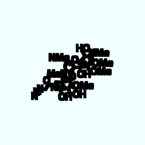 CNC1C[C@@H](NC)[C@@H](O[C@H]2OC(COC)[C@@H](OC)[C@@H](NC)C2CO)C(CO)[C@@H]1O[C@H]1OC(CNC(=O)CN=[N+]=[N-])[C@@H](CO)C(CO)[C@@H]1OC